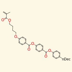 C=C(C)C(=O)OCCCCOc1ccc(C(=O)Oc2ccc(C(=O)Oc3ccc(CCCCCCCCCC)cc3)cc2)cc1